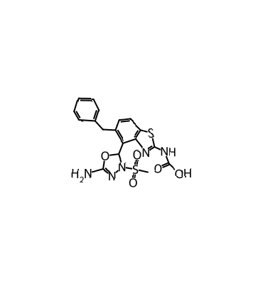 CS(=O)(=O)N1N=C(N)OC1c1c(Cc2ccccc2)ccc2sc(NC(=O)O)nc12